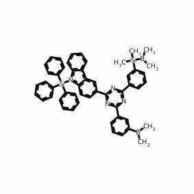 CB(C)c1cccc(-c2nc(-c3cccc([Si](C)(C)B(C)C)c3)nc(-c3ccc4c(c3)c3ccccc3n4[Si](c3ccccc3)(c3ccccc3)c3ccccc3)n2)c1